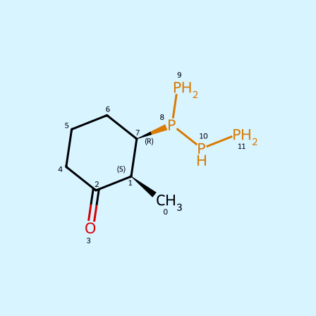 C[C@H]1C(=O)CCC[C@H]1P(P)PP